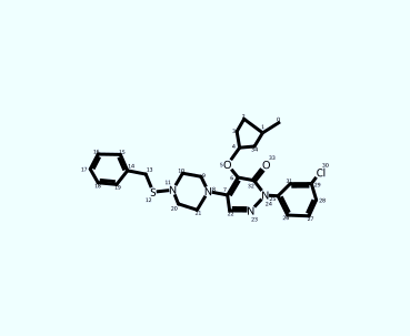 CC1CCC(Oc2c(N3CCN(SCc4ccccc4)CC3)cnn(-c3cccc(Cl)c3)c2=O)C1